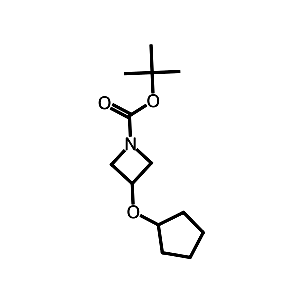 CC(C)(C)OC(=O)N1CC(OC2CCCC2)C1